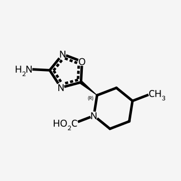 CC1CCN(C(=O)O)[C@@H](c2nc(N)no2)C1